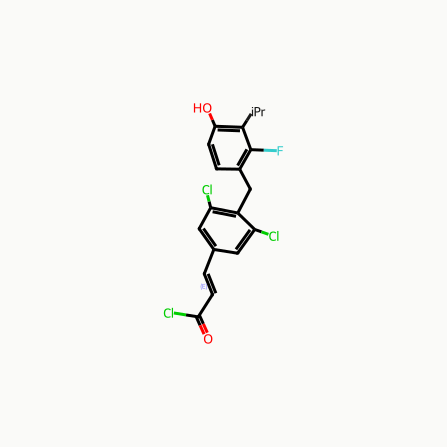 CC(C)c1c(O)ccc(Cc2c(Cl)cc(/C=C/C(=O)Cl)cc2Cl)c1F